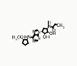 CCC(=O)N[C@H]1C[C@@H](n2cnc3c(N[C@H]4CCC[C@@H]4OC)ncnc32)[C@H](O)[C@@H]1O